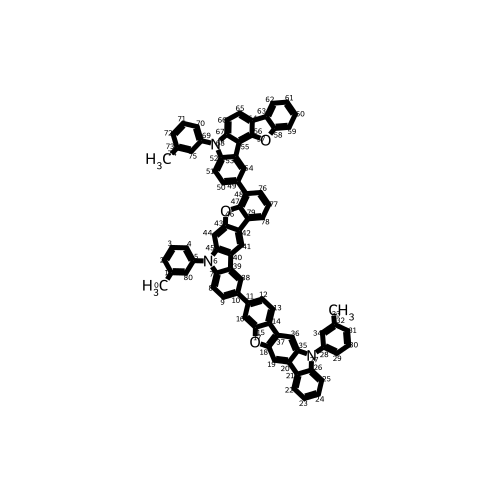 Cc1cccc(-n2c3ccc(-c4ccc5c(c4)oc4cc6c7ccccc7n(-c7cccc(C)c7)c6cc45)cc3c3cc4c(cc32)oc2c(-c3ccc5c(c3)c3c6oc7ccccc7c6ccc3n5-c3cccc(C)c3)cccc24)c1